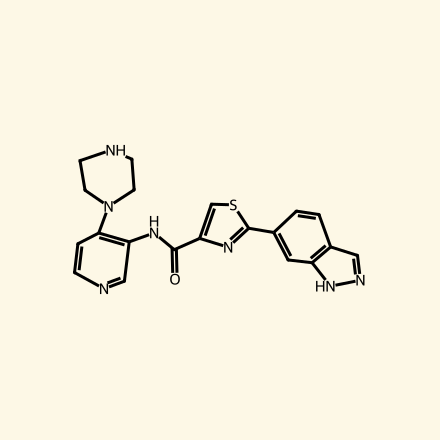 O=C(Nc1cnccc1N1CCNCC1)c1csc(-c2ccc3cn[nH]c3c2)n1